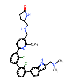 COc1nc(-c2cccc(-c3cccc(-c4ccc5cc(CN(C)C)[nH]c5c4)c3Cl)c2Cl)ccc1CNCC1CCC(=O)N1